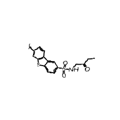 CCC(=O)CNS(=O)(=O)c1ccc2sc3cc(I)ccc3c2c1